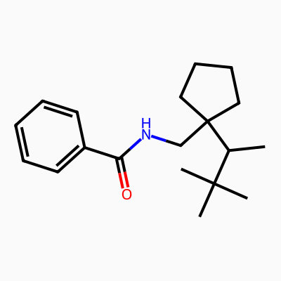 CC(C(C)(C)C)C1(CNC(=O)c2ccccc2)CCCC1